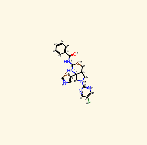 O=C(NC1NC2(c3cncs3)CN(c3ncc(F)cn3)CC2CS1)c1ccccc1